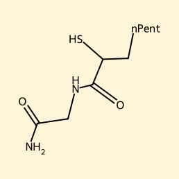 CCCCCCC(S)C(=O)NCC(N)=O